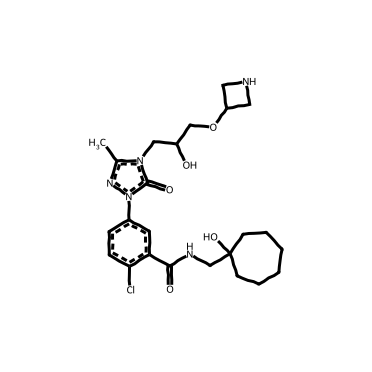 Cc1nn(-c2ccc(Cl)c(C(=O)NCC3(O)CCCCCC3)c2)c(=O)n1CC(O)COC1CNC1